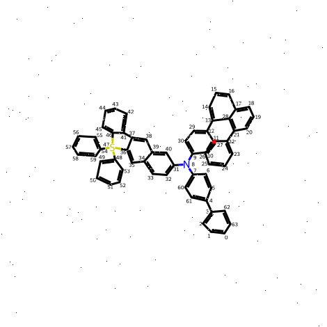 c1ccc(-c2ccc(N(c3ccc(-c4cccc5cccc(-c6ccccc6)c45)cc3)c3ccc4cc5c(cc4c3)-c3ccccc3S5(c3ccccc3)c3ccccc3)cc2)cc1